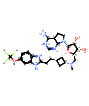 CN(C[C@H]1O[C@@H](N2CCC3C(N)NC=NC32)[C@H](O)[C@@H]1O)[C@H]1C[C@H](CCC2Nc3ccc(OC(F)(F)F)cc3N2)C1